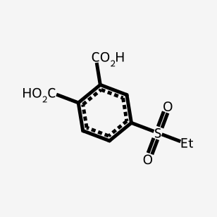 CCS(=O)(=O)c1ccc(C(=O)O)c(C(=O)O)c1